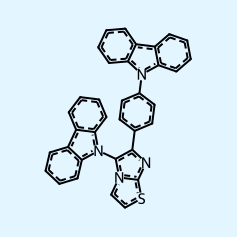 c1ccc2c(c1)c1ccccc1n2-c1ccc(-c2nc3sccn3c2-n2c3ccccc3c3ccccc32)cc1